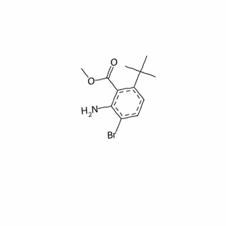 COC(=O)c1c(C(C)(C)C)ccc(Br)c1N